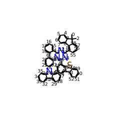 CC1(C)c2ccccc2-c2c(-c3nc(-c4ccccc4-c4ccc(-n5c6ccccc6c6ccccc65)cc4)nc(-c4cccc5c4sc4ccccc45)n3)cccc21